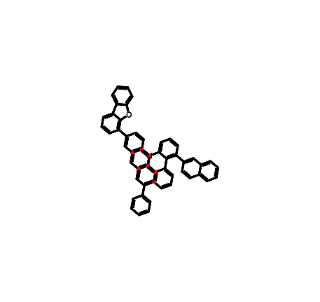 c1ccc(-c2ccc(N(c3ccc(-c4cccc5c4oc4ccccc45)cc3)c3cccc(-c4ccc5ccccc5c4)c3-c3ccccc3-c3ccccc3)cc2)cc1